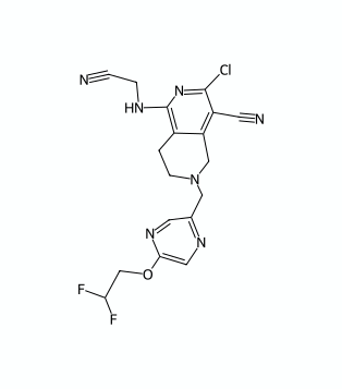 N#CCNc1nc(Cl)c(C#N)c2c1CCN(Cc1cnc(OCC(F)F)cn1)C2